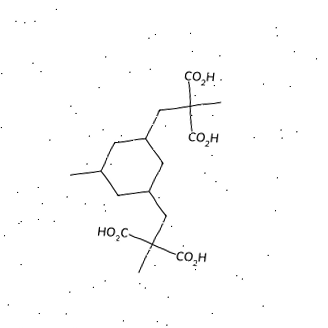 CC1CC(CC(C)(C(=O)O)C(=O)O)CC(CC(C)(C(=O)O)C(=O)O)C1